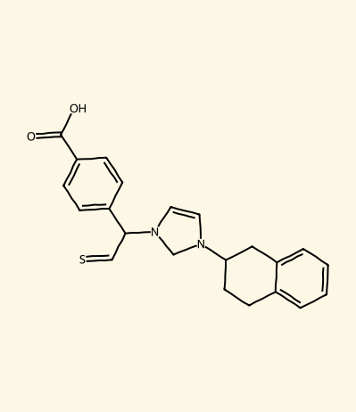 O=C(O)c1ccc(C(C=S)N2C=CN(C3CCc4ccccc4C3)C2)cc1